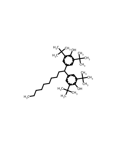 CCCCCCCCCC(c1cc(C(C)(C)C)c(O)c(C(C)(C)C)c1)c1cc(C(C)(C)C)c(O)c(C(C)(C)C)c1